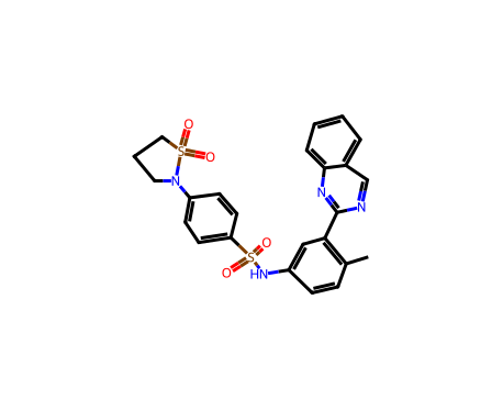 Cc1ccc(NS(=O)(=O)c2ccc(N3CCCS3(=O)=O)cc2)cc1-c1ncc2ccccc2n1